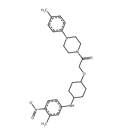 Cc1ccc(N2CCN(C(=O)COC3CCC(Nc4ccc([N+](=O)[O-])c(C)c4)CC3)CC2)cc1